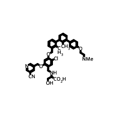 CNCCOc1ccc(-c2cccc(-c3cccc(COc4cc(OCc5cncc(C#N)c5)c(CNC(CO)C(=O)O)cc4Cl)c3C)c2C)cc1